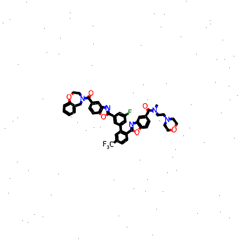 CN(CCN1CCOCC1)C(=O)c1ccc2oc(-c3ccc(C(F)(F)F)cc3-c3cc(F)cc(-c4nc5cc(C(=O)N6CCOc7ccccc7C6)ccc5o4)c3)nc2c1